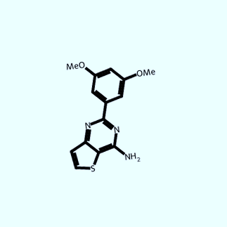 COc1cc(OC)cc(-c2nc(N)c3sccc3n2)c1